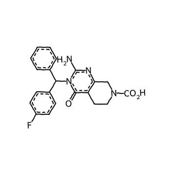 Nc1nc2c(c(=O)n1C(c1ccccc1)c1ccc(F)cc1)CCN(C(=O)O)C2